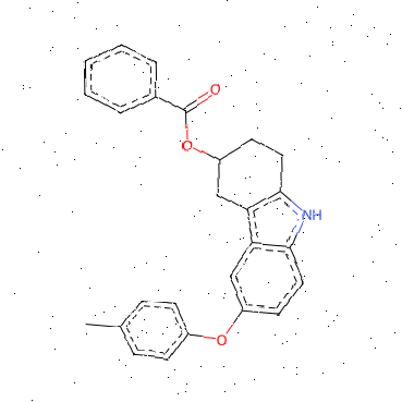 Cc1ccc(Oc2ccc3[nH]c4c(c3c2)CC(OC(=O)c2ccccc2)CC4)cc1